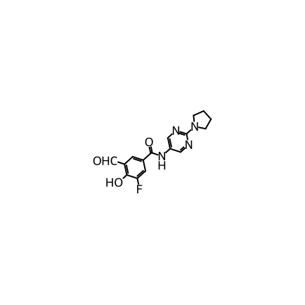 O=Cc1cc(C(=O)Nc2cnc(N3CCCC3)nc2)cc(F)c1O